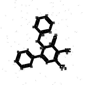 [C-]#[N+]c1c(C(F)(F)F)cc(-c2ccccc2)n(Cc2ccccc2)c1=O